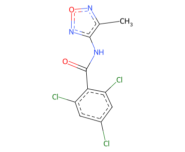 Cc1nonc1NC(=O)c1c(Cl)cc(Cl)cc1Cl